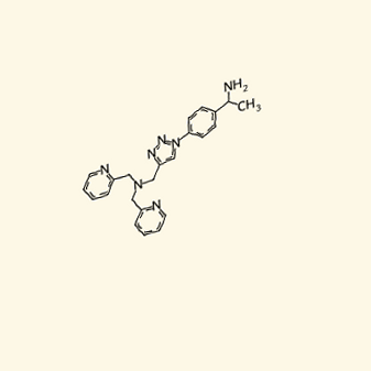 CC(N)c1ccc(-n2cc(CN(Cc3ccccn3)Cc3ccccn3)nn2)cc1